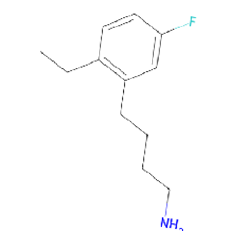 CCc1ccc(F)cc1CCCCN